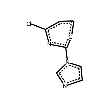 Clc1cccc(-n2ccnc2)n1